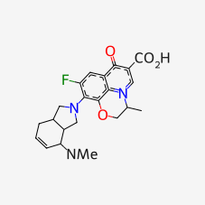 CNC1C=CCC2CN(c3c(F)cc4c(=O)c(C(=O)O)cn5c4c3OCC5C)CC21